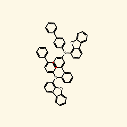 c1ccc(-c2ccc(N(c3cccc(-c4ccccc4N(c4ccc(-c5ccccc5)cc4)c4cccc5c4oc4ccccc45)c3)c3cccc4c3oc3ccccc34)cc2)cc1